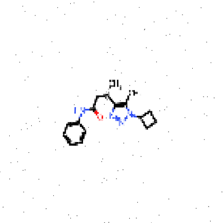 Cc1c([C@@H](C)CC(=O)Nc2ccccc2)nnn1C1CCC1